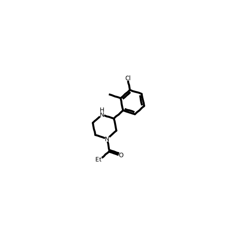 CCC(=O)N1CCNC(c2cccc(Cl)c2C)C1